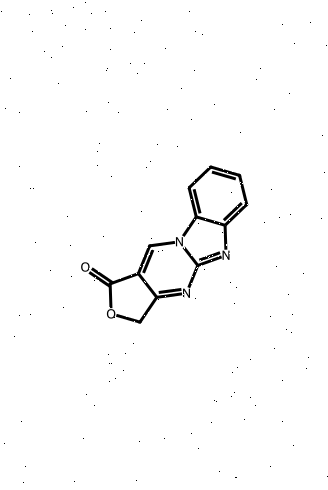 O=C1OCc2nc3nc4ccccc4n3cc21